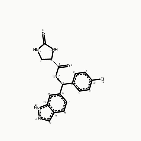 O=C1NC[C@@H](C(=O)N[C@@H](c2ccc(Cl)cc2)c2ccc3cn[nH]c3c2)N1